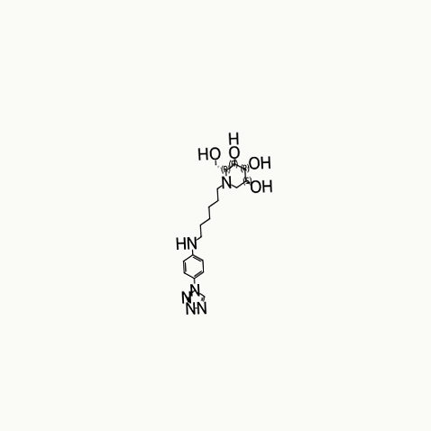 OC[C@@H]1[C@@H](O)[C@H](O)[C@@H](O)CN1CCCCCCNc1ccc(-n2cnnn2)cc1